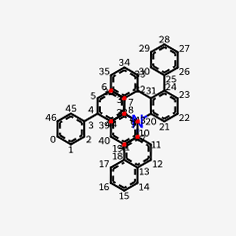 c1ccc(-c2cccc(N(c3ccc4ccccc4c3)c3cccc(-c4ccccc4)c3-c3ccccc3-c3ccccc3)c2)cc1